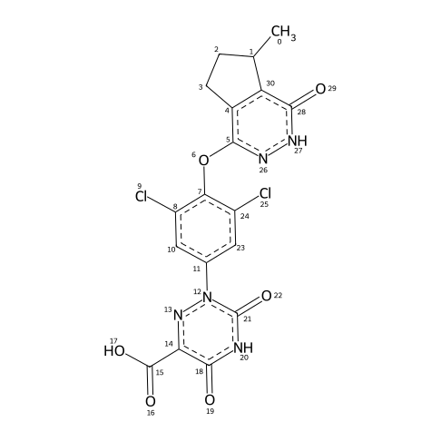 CC1CCc2c(Oc3c(Cl)cc(-n4nc(C(=O)O)c(=O)[nH]c4=O)cc3Cl)n[nH]c(=O)c21